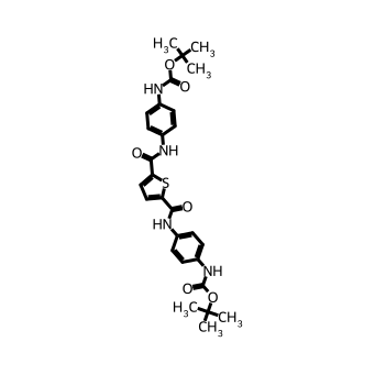 CC(C)(C)OC(=O)Nc1ccc(NC(=O)c2ccc(C(=O)Nc3ccc(NC(=O)OC(C)(C)C)cc3)s2)cc1